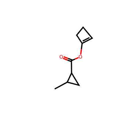 CC1CC1C(=O)OC1=CCC1